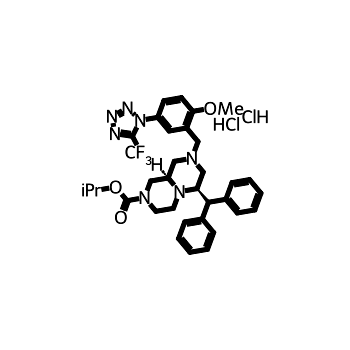 COc1ccc(-n2nnnc2C(F)(F)F)cc1CN1C[C@@H]2CN(C(=O)OC(C)C)CCN2[C@H](C(c2ccccc2)c2ccccc2)C1.Cl.Cl